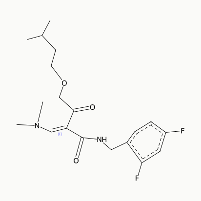 CC(C)CCOCC(=O)/C(=C\N(C)C)C(=O)NCc1ccc(F)cc1F